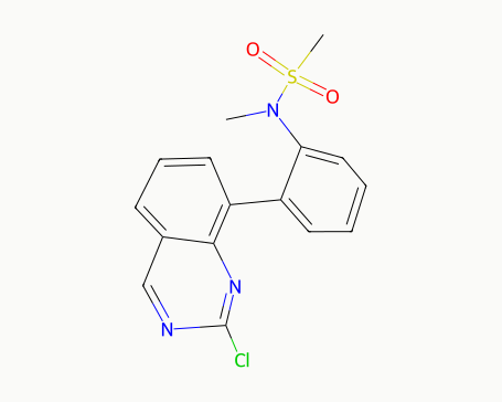 CN(c1ccccc1-c1cccc2cnc(Cl)nc12)S(C)(=O)=O